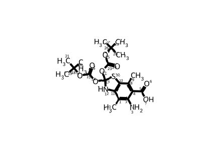 Cc1c(N)c(C(=O)O)c(C)c2c1NC(OC(=O)OC(C)(C)C)(OC(=O)OC(C)(C)C)S2